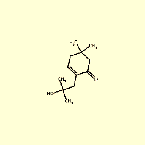 CC(C)(O)CC1=CCC(C)(C)CC1=O